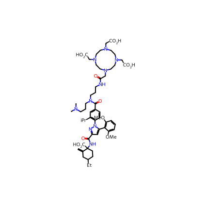 C=C1CC(CC)CCC1(NC(=O)c1cc(-c2c(OC)cccc2OC)n(-c2ccc(C(=O)N(CCCNC(=O)CN3CCN(CC(=O)O)CCN(CC(=O)O)CCN(CC(=O)O)CC3)CCCN(C)C)cc2C(C)C)n1)C(=O)O